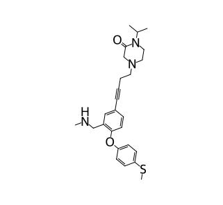 CNCc1cc(C#CCCN2CCN(C(C)C)C(=O)C2)ccc1Oc1ccc(SC)cc1